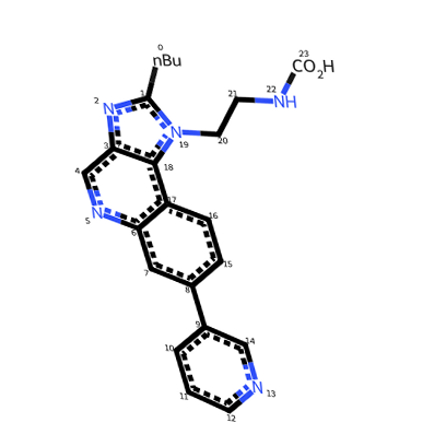 CCCCc1nc2cnc3cc(-c4cccnc4)ccc3c2n1CCNC(=O)O